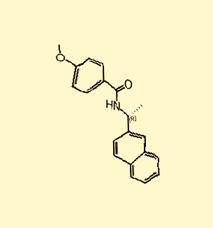 COc1ccc(C(=O)N[C@H](C)c2ccc3ccccc3c2)cc1